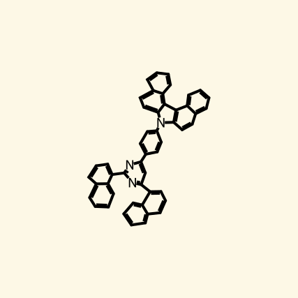 c1ccc2c(-c3cc(-c4ccc(-n5c6ccc7ccccc7c6c6c7ccccc7ccc65)cc4)nc(-c4cccc5ccccc45)n3)cccc2c1